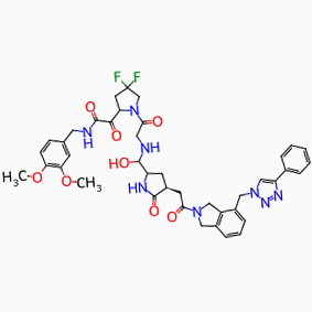 COc1ccc(CNC(=O)C(=O)C2CC(F)(F)CN2C(=O)CNC(O)C2C[C@@H](CC(=O)N3Cc4cccc(Cn5cc(-c6ccccc6)nn5)c4C3)C(=O)N2)cc1OC